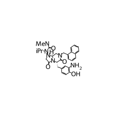 CNC(=O)N(C(C)C)N1CC(=O)N2[C@@H](Cc3ccc(O)c(N)c3)C(=O)N(Cc3cccc4ccccc34)C[C@@H]21